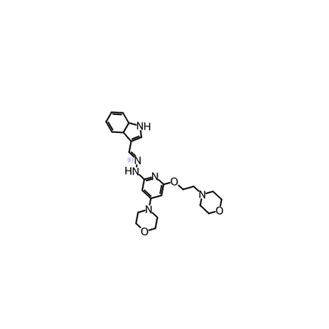 C1=CC2NC=C(/C=N/Nc3cc(N4CCOCC4)cc(OCCN4CCOCC4)n3)C2C=C1